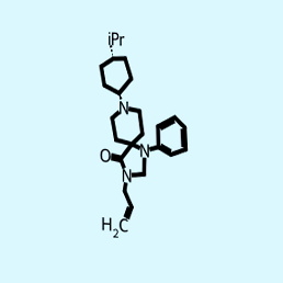 C=CCN1CN(c2ccccc2)C2(CCN([C@H]3CC[C@@H](C(C)C)CC3)CC2)C1=O